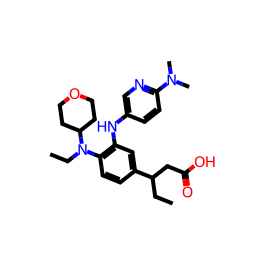 CCC(CC(=O)O)c1ccc(N(CC)C2CCOCC2)c(Nc2ccc(N(C)C)nc2)c1